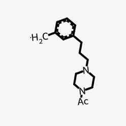 [CH2]c1cccc(CCCN2CCN(C(C)=O)CC2)c1